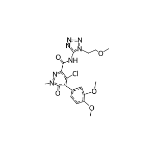 COCCn1nnnc1NC(=O)c1nn(C)c(=O)c(-c2ccc(OC)c(OC)c2)c1Cl